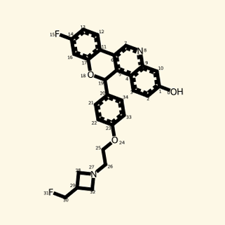 Oc1ccc2c3c(cnc2c1)-c1ccc(F)cc1OC3c1ccc(OCCN2CC(CF)C2)cc1